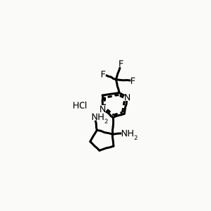 Cl.NC1CCCC1(N)c1cnc(C(F)(F)F)cn1